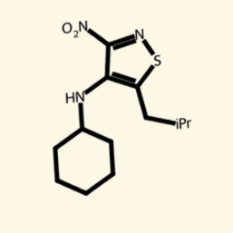 CC(C)Cc1snc([N+](=O)[O-])c1NC1CCCCC1